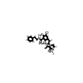 Cc1nc([C@@H](C)c2cc(Cl)c(F)c(C(=O)NCCc3ccccc3)c2OC(C)C)n2ccnc(N)c12